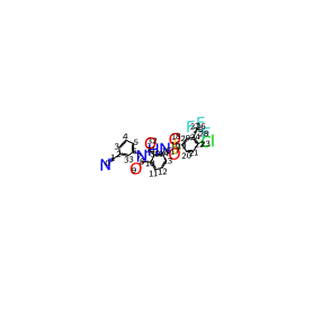 N#Cc1cccc(N2C(=O)c3cccc(NS(=O)(=O)c4ccc(Cl)c(C(F)(F)F)c4)c3C2=O)c1